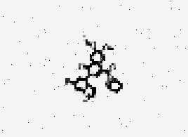 COc1cc2c(C(=O)N3CC4CCC3C4)cn(-c3cc(F)cc4c3ccn4C)c(=O)c2cc1OCF